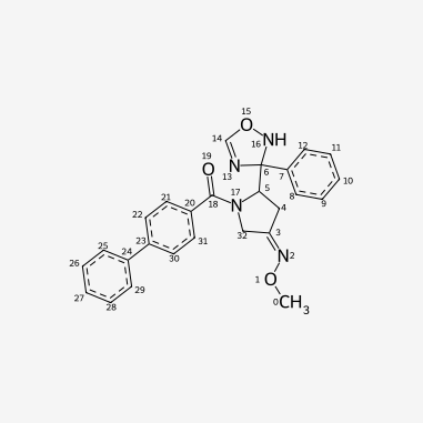 CON=C1CC(C2(c3ccccc3)N=CON2)N(C(=O)c2ccc(-c3ccccc3)cc2)C1